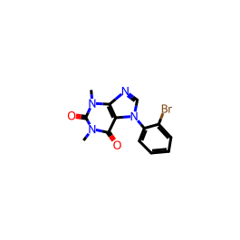 Cn1c(=O)c2c(ncn2-c2ccccc2Br)n(C)c1=O